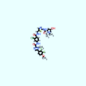 COc1ccc(-c2cnc(C(=O)Nc3ccc(C(=O)NCc4cnc(NC(=O)[C@@H]5C[C@@H](O)C[N+]5(C)C)s4)c(Cl)c3)n2C)c(F)c1F